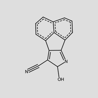 N#CC1=C2C(=NC1O)c1cccc3cccc2c13